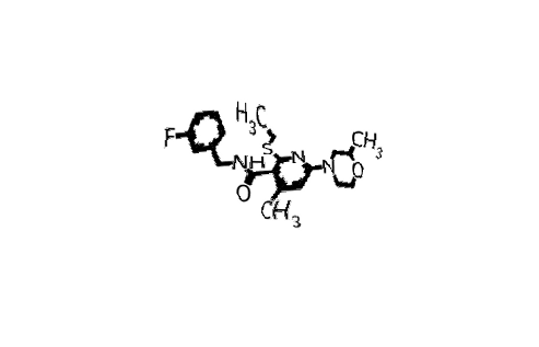 CCSc1nc(N2CCOC(C)C2)cc(C)c1C(=O)NCc1cccc(F)c1